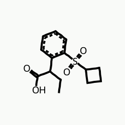 CCC(C(=O)O)c1ccccc1S(=O)(=O)C1CCC1